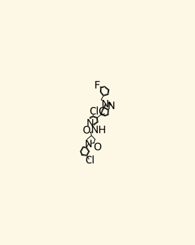 O=C(Nc1cc(-c2ccc3ncn(Cc4cccc(F)c4)c3c2)c(Cl)cn1)C1CC(=O)N(c2cccc(Cl)c2)C1